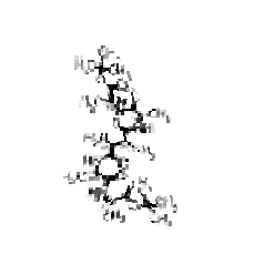 C[C@H](NC(=O)[C@@H](N)[C@H](N)C(=O)N[C@@H](C)C(=O)N[C@@H](C)C(=O)OC(C)(C)C)C(=O)N[C@@H](C)C(=O)OC(C)(C)C